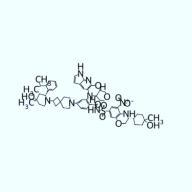 CC(C)c1ccccc1[C@@H]1C[C@@](C)(O)CCN1C1CC2(CCN(c3ccc(C(=O)NS(=O)(=O)c4cc5c(c([N+](=O)[O-])c4)N[C@H](C4CCC(C)(O)CC4)CO5)c(N4c5cc6cc[nH]c6nc5O[C@H]5COCC[C@@H]54)c3)CC2)C1